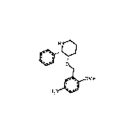 COc1ccc(N)cc1CO[C@H]1CCCN[C@H]1c1ccccc1